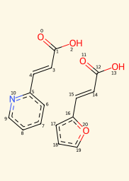 O=C(O)C=Cc1ccccn1.O=C(O)C=Cc1ccco1